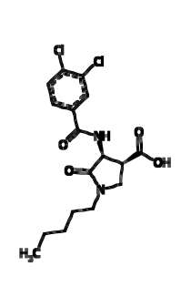 CCCCCN1C[C@H](C(=O)O)[C@H](NC(=O)c2ccc(Cl)c(Cl)c2)C1=O